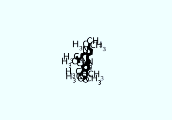 CC(C)(C)c1ccc2c(cc(C(C)(C)C)n3c4cc5c(cc4nc23)C(C)(C)S(=O)(=O)C5(C)C)n1